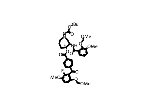 COCOc1ccc(OC)c(F)c1C(=O)c1ccc(C(=O)O[C@@H]2CCCN(OC(=O)OC(C)(C)C)C[C@H]2NC(=O)c2cccc(OC)c2OCOC)cc1